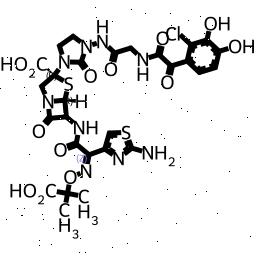 CC(C)(O/N=C(\C(=O)NC1C(=O)N2C[C@@](C(=O)O)(N3CCN(NC(=O)CNC(=O)C(=O)c4ccc(O)c(O)c4Cl)C3=O)S[C@H]12)c1csc(N)n1)C(=O)O